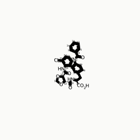 O=C(Nc1ccc(C[C@H](NC(=O)[C@@H]2OCO[C@H]2C(=O)Nc2ccccc2Cl)C(=O)O)cc1)c1ccccc1